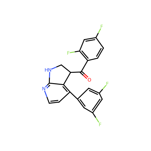 O=C(c1ccc(F)cc1F)C1CNc2nccc(-c3cc(F)cc(F)c3)c21